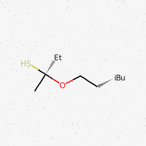 CC[C@@H](C)CCO[C@@](C)(S)CC